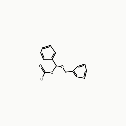 [O]C(=O)OC(OCc1ccccc1)c1ccccc1